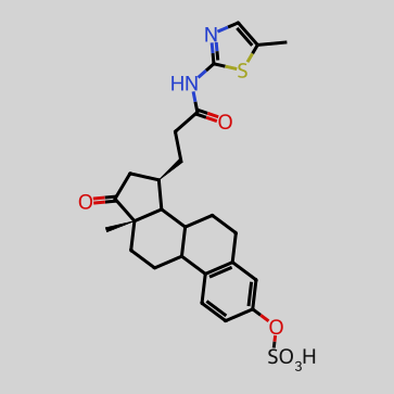 Cc1cnc(NC(=O)CC[C@@H]2CC(=O)[C@@]3(C)CCC4c5ccc(OS(=O)(=O)O)cc5CCC4C23)s1